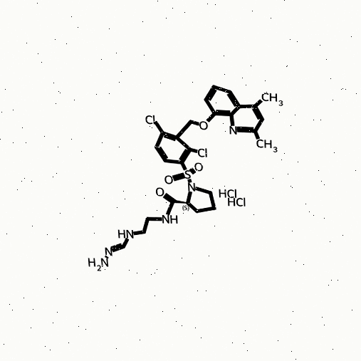 Cc1cc(C)c2cccc(OCc3c(Cl)ccc(S(=O)(=O)N4CCC[C@H]4C(=O)NCCNC=NN)c3Cl)c2n1.Cl.Cl